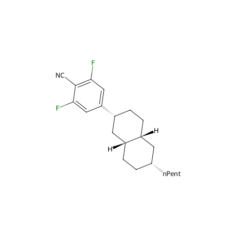 CCCCC[C@@H]1CC[C@@H]2C[C@H](c3cc(F)c(C#N)c(F)c3)CC[C@@H]2C1